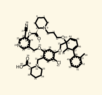 COC(=O)[C@@H]1CCCCN1CCCOC1(COc2cc(OCc3cncc(C#N)c3)c(CN3CCCC[C@H]3C(=O)O)cc2Cl)C=CC=C(c2ccccc2C)C1C